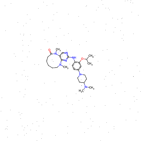 CC(C)Oc1cc(N2CCC(N(C)C)CC2)ccc1Nc1ncc2c(n1)N(C)CCCCCC(=O)N2C